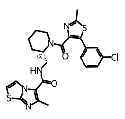 Cc1nc(C(=O)N2CCCC[C@H]2CNC(=O)c2c(C)nc3sccn23)c(-c2cccc(Cl)c2)s1